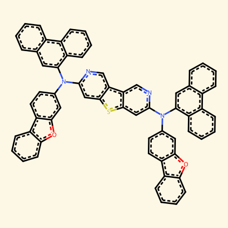 c1ccc2c(c1)cc(N(c1ccc3c(c1)oc1ccccc13)c1cc3sc4cc(N(c5ccc6c(c5)oc5ccccc56)c5cc6ccccc6c6ccccc56)ncc4c3cn1)c1ccccc12